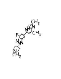 Cc1cn2nc(-c3cc(F)c4nn(C5CCN(C)CC5)nc4c3)cc(C)c2n1